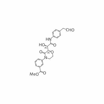 COC(=O)c1cccc(N2CCO[C@H]([C@@H](O)C(=O)Nc3ccc(CC=O)cc3)C2=O)c1